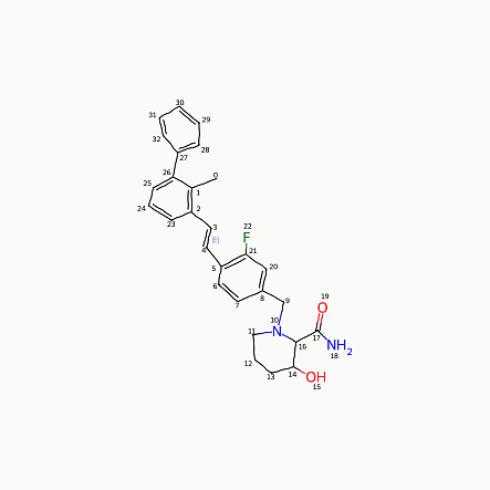 Cc1c(/C=C/c2ccc(CN3CCCC(O)C3C(N)=O)cc2F)cccc1-c1ccccc1